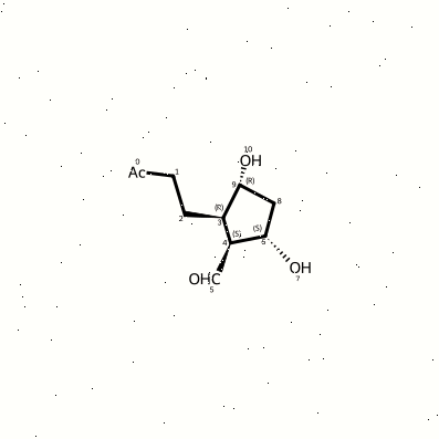 CC(=O)CC[C@@H]1[C@H](C=O)[C@@H](O)C[C@H]1O